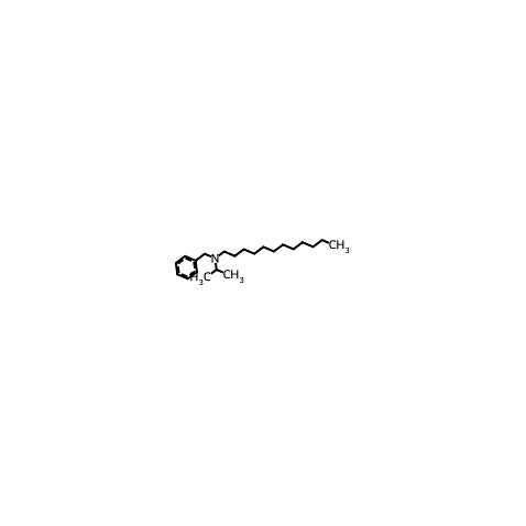 CCCCCCCCCCCCN(Cc1ccccc1)C(C)C